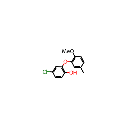 COc1ccc(C)cc1Oc1cc(Cl)ccc1O